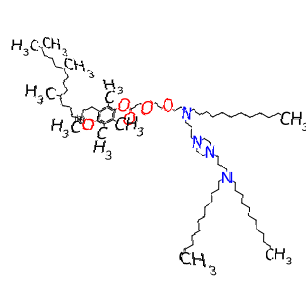 CCCCCCCCCCCCN(CCCCCCCCCCCC)CCCN1CCN(CCCN(CCCCCCCCCCCC)CCOCCOCC(=O)Oc2c(C)c(C)c3c(c2C)CC[C@@](C)(CCCC(C)CCCC(C)CCCC(C)C)O3)CC1